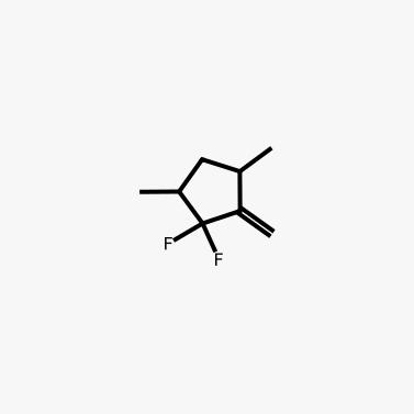 C=C1C(C)CC(C)C1(F)F